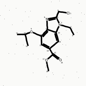 CCn1c(CCl)nc2c(OC(C)C)cc(C(=O)OC)cc21